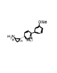 COc1cccc(-c2ccc([C@@H]3C[C@H]3N)cn2)c1.Cl